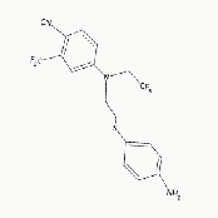 [C-]#[N+]c1ccc(N(CCSc2ccc(N)cc2)CC(F)(F)F)cc1C(F)(F)F